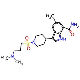 Cc1cc(C(N)=O)c2[nH]cc(C3CCN(S(=O)(=O)CCCN(C)C)CC3)c2c1